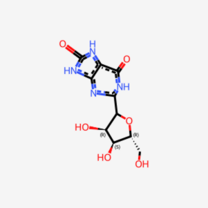 O=c1[nH]c2nc(C3O[C@H](CO)[C@@H](O)[C@H]3O)[nH]c(=O)c2[nH]1